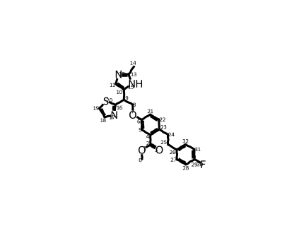 COC(=O)c1cc(OCC(c2cnc(C)[nH]2)c2nccs2)ccc1CCc1ccc(F)cc1